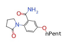 CCCCCOc1ccc(N2CCCC2=O)c(C(N)=O)c1